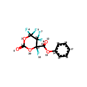 O=C1OC(F)(F)C(F)(F)C(F)(C(=O)Oc2ccccc2)O1